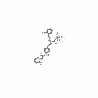 CC(C)(C)OC(=O)N(CCc1ccc(NC(=O)Cn2ncccc2=O)cc1)OCCc1ccccc1Cl